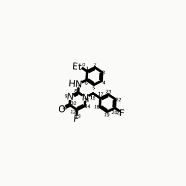 CCc1ccccc1Nc1nc(=O)c(F)cn1Cc1ccc(F)cc1